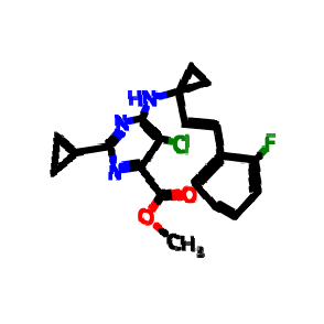 COC(=O)c1nc(C2CC2)nc(NC2(C=Cc3ccccc3F)CC2)c1Cl